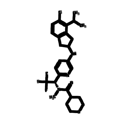 CC(C)c1c(Cl)ccc2c1CC(Nc1ccc([C@H](N(C)C(=O)C3CCSCC3)C(F)(F)F)nc1)C2